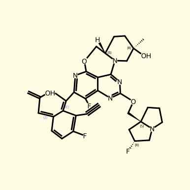 C#Cc1c(F)ccc(=C/C(=C)O)/c1=C(\C)c1nc2c3c(nc(OC[C@@]45CCCN4C[C@H](F)C5)nc3c1F)N1C[C@](C)(O)CC[C@H]1CO2